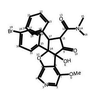 COc1cncc2c1C1(O)C(=O)C(C(=O)N(C)C)C(c3ccccc3)C1(c1ccc(Br)cc1)O2